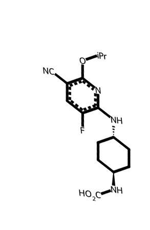 CC(C)Oc1nc(N[C@H]2CC[C@H](NC(=O)O)CC2)c(F)cc1C#N